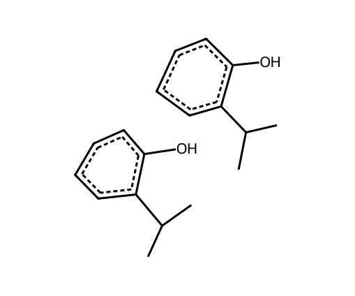 CC(C)c1ccccc1O.CC(C)c1ccccc1O